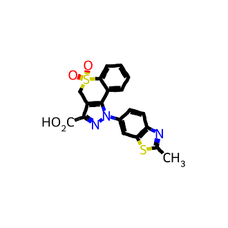 Cc1nc2ccc(-n3nc(C(=O)O)c4c3-c3ccccc3S(=O)(=O)C4)cc2s1